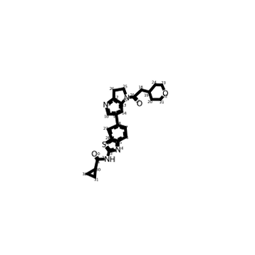 O=C(Nc1nc2ccc(-c3cnc4c(c3)N(C(=O)CC3CCOCC3)CC4)cc2s1)C1CC1